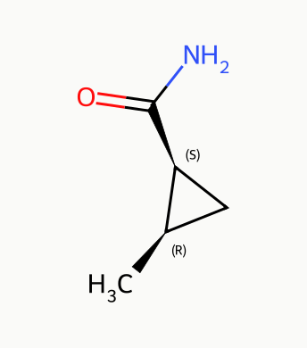 C[C@@H]1C[C@@H]1C(N)=O